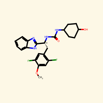 COc1cc(F)c(C[C@@H](NC(=O)NC2CCC(O)CC2)c2nc3ccccc3[nH]2)cc1F